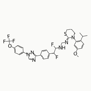 COc1ccc(C(C)C)c(N2CCCS/C2=N\CNC(F)C(F)c2ccc(-c3ncn(-c4ccc(OC(F)(F)F)cc4)n3)cc2)c1